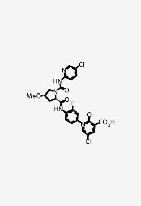 CO[C@@H]1C[C@H](C(=O)Nc2ccc(-n3cc(Cl)cc(C(=O)O)c3=O)cc2F)N(C(=O)Nc2ccc(Cl)cn2)C1